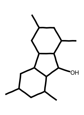 CC1CC(C)C2C(O)C3C(C)CC(C)CC3C2C1